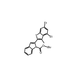 CCc1cc(CC)c2c(C)c(-c3cc4ccccc4n3C(=O)OC(C)(C)C)sc2c1